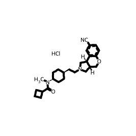 CN(C(=O)C1CCC1)[C@H]1CC[C@H](CCN2C[C@H]3COc4ccc(C#N)cc4[C@@H]3C2)CC1.Cl